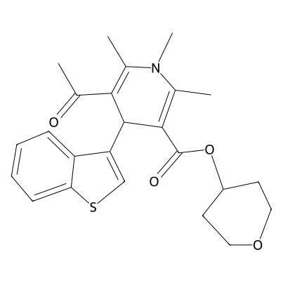 CC(=O)C1=C(C)N(C)C(C)=C(C(=O)OC2CCOCC2)C1c1csc2ccccc12